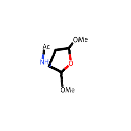 CC(N)=O.COC1CCC(OC)O1